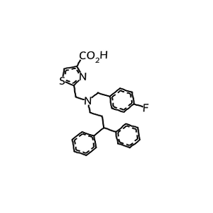 O=C(O)c1csc(CN(CCC(c2ccccc2)c2ccccc2)Cc2ccc(F)cc2)n1